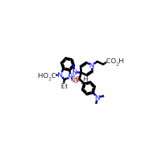 CCC1N(C(=O)O)c2ccc3cc2[N+]1(C(=O)O)N3C1(C(=O)c2ccc(N(C)C)cc2)C=CN(CCC(=O)O)C=C1